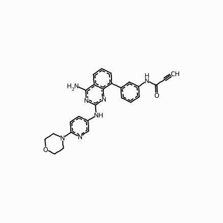 C#CC(=O)Nc1cccc(-c2cccc3c(N)nc(Nc4ccc(N5CCOCC5)nc4)nc23)c1